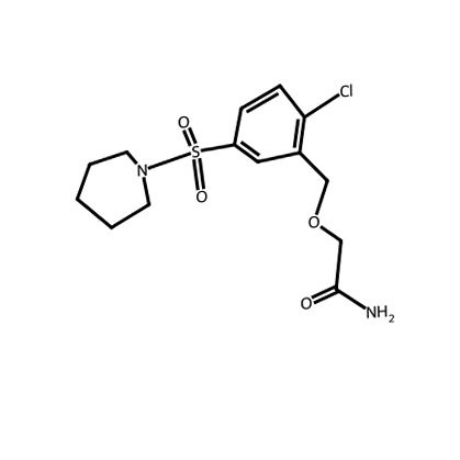 NC(=O)COCc1cc(S(=O)(=O)N2CCCCC2)ccc1Cl